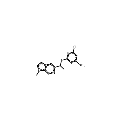 CC(Sc1nc(N)cc(Cl)n1)c1cc2ccn(C)c2cn1